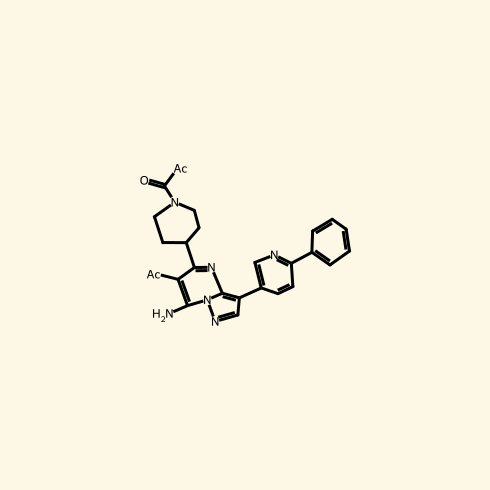 CC(=O)C(=O)N1CCC(c2nc3c(-c4ccc(-c5ccccc5)nc4)cnn3c(N)c2C(C)=O)CC1